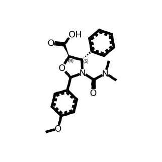 COc1ccc(C2O[C@@H](C(=O)O)[C@H](c3ccccc3)N2C(=O)N(C)C)cc1